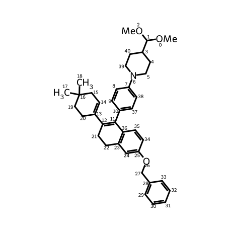 COC(OC)C1CCN(c2ccc(C3=C(C4=CCC(C)(C)CC4)CCc4cc(OCc5ccccc5)ccc43)cc2)CC1